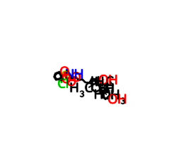 CC[C@H]1[C@@H](O)[C@@H]2[C@H](CC[C@]3(C)[C@@H](CCCOC(=O)NS(=O)(=O)c4ccccc4Cl)CC[C@@H]23)[C@@]2(C)CC[C@@H](O)C[C@@H]12